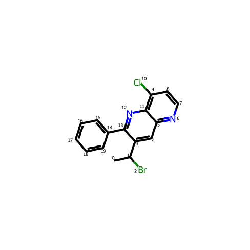 CC(Br)c1cc2nccc(Cl)c2nc1-c1ccccc1